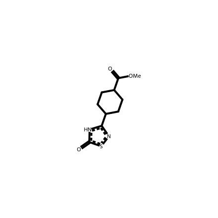 COC(=O)C1CCC(c2nsc(=O)[nH]2)CC1